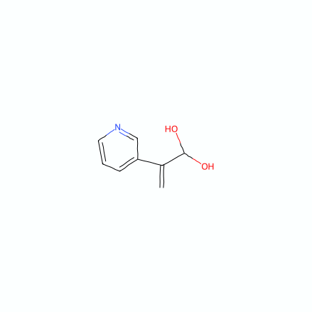 C=C(c1cccnc1)C(O)O